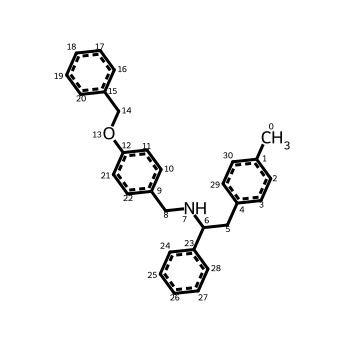 Cc1ccc(CC(NCc2ccc(OCc3ccccc3)cc2)c2ccccc2)cc1